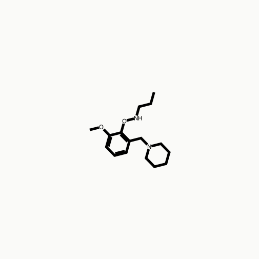 CCCNOc1c(CN2CCCCC2)cccc1OC